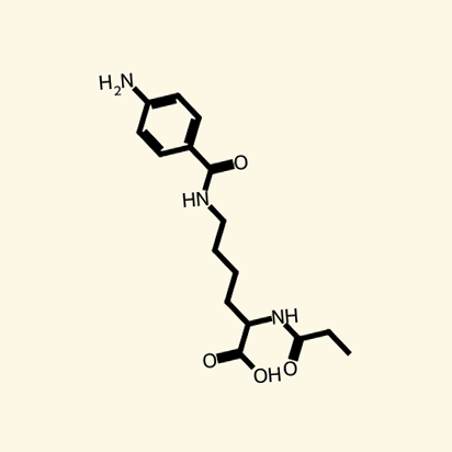 CCC(=O)NC(CCCCNC(=O)c1ccc(N)cc1)C(=O)O